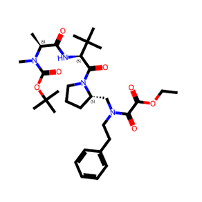 CCOC(=O)C(=O)N(CCc1ccccc1)C[C@@H]1CCCN1C(=O)[C@@H](NC(=O)[C@H](C)N(C)C(=O)OC(C)(C)C)C(C)(C)C